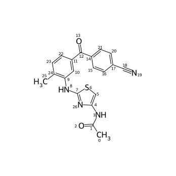 CC(=O)Nc1csc(Nc2cc(C(=O)c3ccc(C#N)cc3)ccc2C)n1